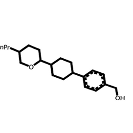 CCCC1CCC(C2CCC(c3ccc(CO)cc3)CC2)OC1